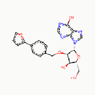 OC[C@H]1O[C@@H](n2cnc3c(O)ncnc32)[C@H](OCc2ccc(-c3ccco3)cc2)[C@@H]1O